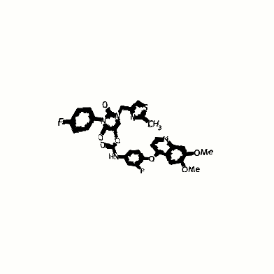 COc1cc2nccc(Oc3ccc(NC(=O)Oc4cn(Cc5csc(C)n5)c(=O)n(-c5ccc(F)cc5)c4=O)cc3F)c2cc1OC